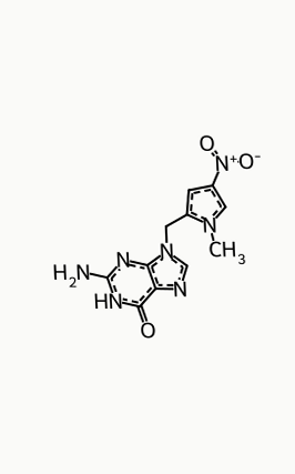 Cn1cc([N+](=O)[O-])cc1Cn1cnc2c(=O)[nH]c(N)nc21